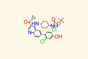 CC(C)(C)OC(=O)N[C@H]1CC[C@H](Nc2c(C(=O)C3CC3)cnc3ccc(-c4cc(Cl)c(O)cc4Cl)cc23)CC1